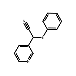 N#CC(Sc1cc[c]cc1)c1cccnc1